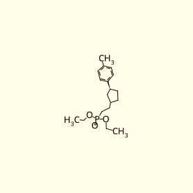 CCOP(=O)(CCC1CC[C@H](c2ccc(C)cc2)C1)OCC